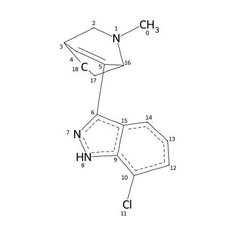 CN1CC2C=C(c3n[nH]c4c(Cl)cccc34)C1CC2